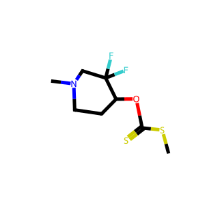 CSC(=S)OC1CCN(C)CC1(F)F